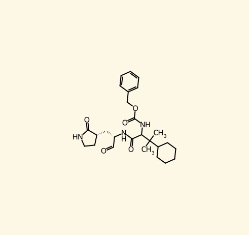 CC(C)(C1CCCCC1)C(NC(=O)OCc1ccccc1)C(=O)N[C@H](C=O)C[C@@H]1CCNC1=O